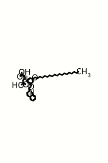 CCCCCCCCCCCCCCCCCCOc1cc(OCc2ccc3ccccc3n2)cc(N(CC(=O)O)CC(=O)O)c1